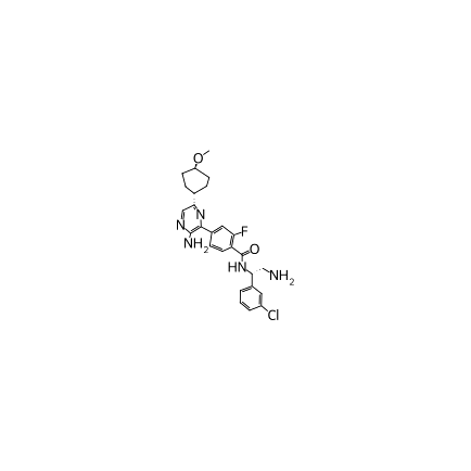 CO[C@H]1CC[C@H](c2cnc(N)c(-c3ccc(C(=O)N[C@H](CN)c4cccc(Cl)c4)c(F)c3)n2)CC1